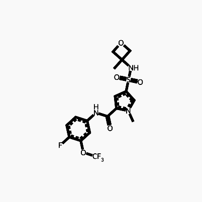 Cn1cc(S(=O)(=O)NC2(C)COC2)cc1C(=O)Nc1ccc(F)c(OC(F)(F)F)c1